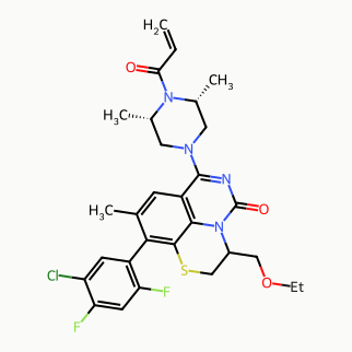 C=CC(=O)N1[C@H](C)CN(c2nc(=O)n3c4c(c(-c5cc(Cl)c(F)cc5F)c(C)cc24)SCC3COCC)C[C@@H]1C